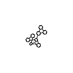 c1ccc2c(c1)-c1ccccc1C21c2ccccc2-n2c3ccccc3c3cc(-c4ccc5c6ccccc6c6ccccc6c5c4)cc1c32